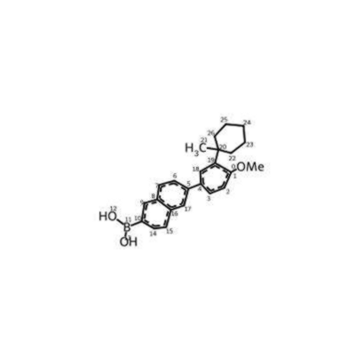 COc1ccc(-c2ccc3cc(B(O)O)ccc3c2)cc1C1(C)CCCCC1